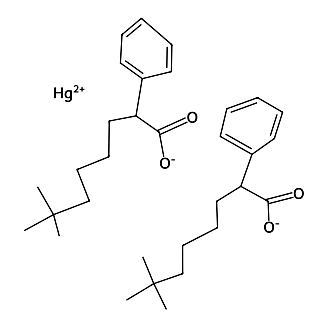 CC(C)(C)CCCCC(C(=O)[O-])c1ccccc1.CC(C)(C)CCCCC(C(=O)[O-])c1ccccc1.[Hg+2]